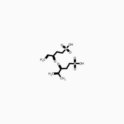 C=C(C)C(=O)CCS(=O)(=O)O.C=CC(=O)CCS(=O)(=O)O